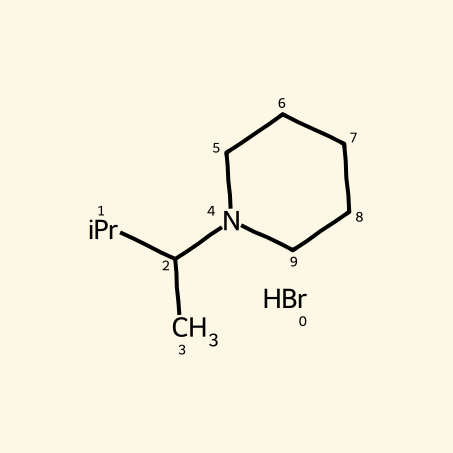 Br.CC(C)C(C)N1CCCCC1